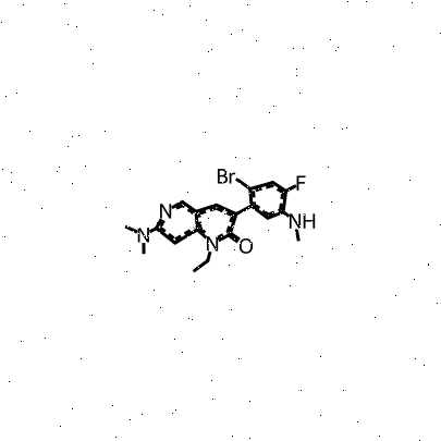 CCn1c(=O)c(-c2cc(NC)c(F)cc2Br)cc2cnc(N(C)C)cc21